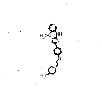 COc1ccncc1Nc1nc(-c2ccc(OCCN3CCC(C)CC3)cc2)cs1